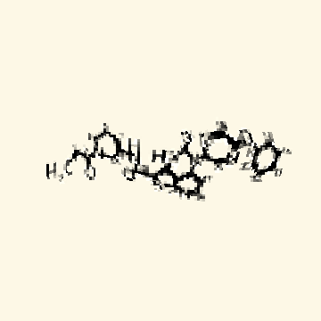 C=CC(=O)N1CCC=C(NC(=O)c2sc3nccc4c3c2NC(=O)N4c2cnc(Oc3ccccc3)cn2)C1